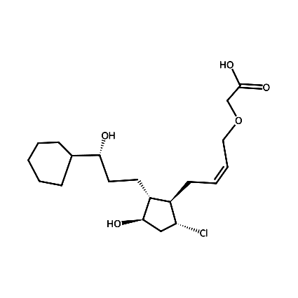 O=C(O)COC/C=C\C[C@@H]1[C@@H](CC[C@@H](O)C2CCCCC2)[C@H](O)C[C@H]1Cl